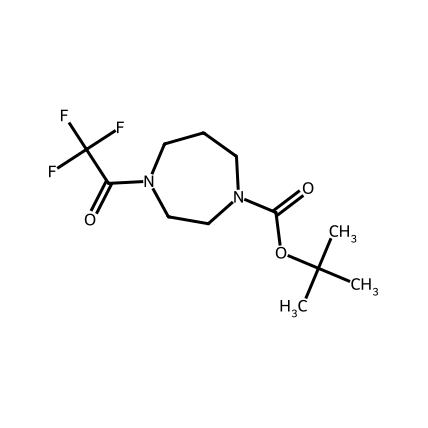 CC(C)(C)OC(=O)N1CCCN(C(=O)C(F)(F)F)CC1